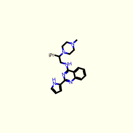 CC(C)C(CNc1nc(-c2ccc[nH]2)nc2ccccc12)N1CCN(C)CC1